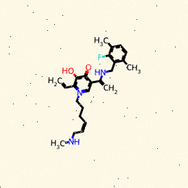 C=Cc1c(O)c(=O)c(C(=C)NCc2c(C)ccc(C)c2F)cn1CCC/C=C\CNC